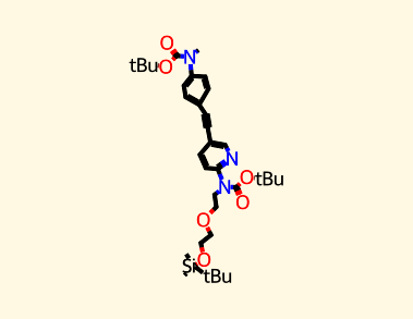 CN(C(=O)OC(C)(C)C)c1ccc(C#Cc2ccc(N(CCOCCO[Si](C)(C)C(C)(C)C)C(=O)OC(C)(C)C)nc2)cc1